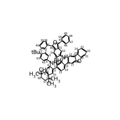 CC(C)(C)c1ccc(Nc2cc3c(cc2-c2ccc4c5cc6oc7ccccc7c6cc5n5c4c2Bc2cc4c(-c6ccccc6)oc(-c6ccccc6)c4cc2-5)C(C)(C)CCC3(C)C)cc1